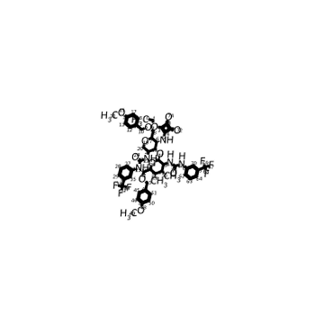 CCOc1c(N[C@H]2C(COCc3ccc(OC)cc3)OCC(NC(=O)Nc3cccc(C(F)(F)F)c3)[C@H]2O[C@@H]2OC(COCc3ccc(OC)cc3)[C@@H](C)[C@H](C)C2NC(=O)Nc2cccc(C(F)(F)F)c2)c(=O)c1=O